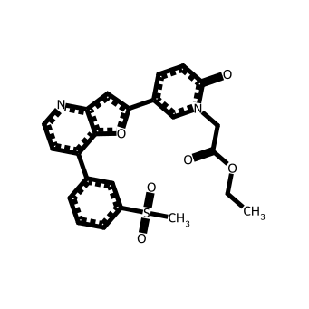 CCOC(=O)Cn1cc(-c2cc3nccc(-c4cccc(S(C)(=O)=O)c4)c3o2)ccc1=O